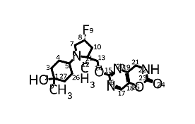 CC1(O)CCC(N2C[C@H](F)C[C@@]2(C)COc2ncc3c(n2)CNC(=O)O3)CC1